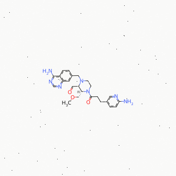 COC[C@@H]1C(C=O)N(Cc2ccc3c(N)ncnc3c2)CCN1C(=O)CCc1ccc(N)nc1